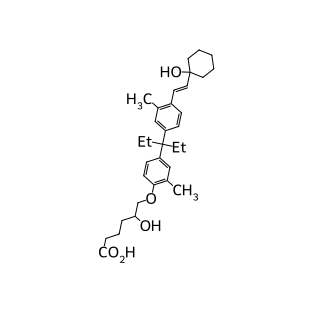 CCC(CC)(c1ccc(C=CC2(O)CCCCC2)c(C)c1)c1ccc(OCC(O)CCCC(=O)O)c(C)c1